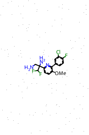 COc1ccc(C(N)(CN)C(F)F)nc1-c1ccc(F)c(Cl)c1